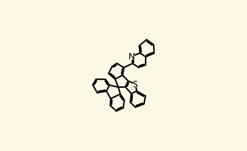 c1ccc2c(c1)-c1ccccc1C21c2cccc(-c3ccc4ccccc4n3)c2-c2sc3ccccc3c21